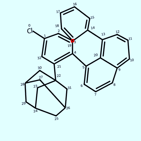 Clc1ccc(-c2cccc3cccc(-c4ccccc4)c23)c(C23CC4CC(CC(C4)C2)C3)c1